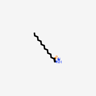 CCCCCCCCCCCCc1c[nH]np1